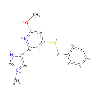 COc1cc(SCc2ccccc2)cc(-c2cn(C)cn2)n1